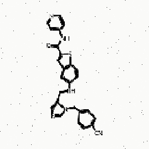 N#Cc1ccc(Cn2cncc2CNc2ccc3sc(C(=O)Nc4ccncc4)cc3c2)cc1